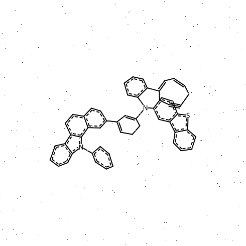 C1#CC/C(c2ccccc2N(C2=CC(c3ccc4ccc5c6ccccc6n(-c6ccccc6)c5c4c3)=CCC2)c2ccc3sc4ccccc4c3c2)=C\C=C/C1